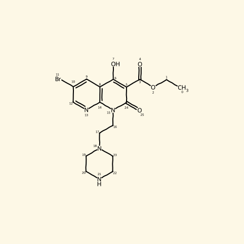 CCOC(=O)c1c(O)c2cc(Br)cnc2n(CCN2CCNCC2)c1=O